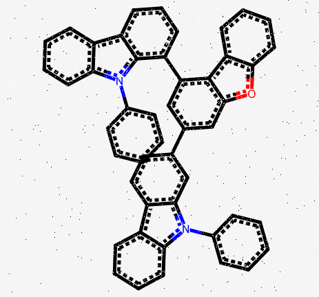 c1ccc(-n2c3ccccc3c3ccc(-c4cc(-c5cccc6c7ccccc7n(-c7ccccc7)c56)c5c(c4)oc4ccccc45)cc32)cc1